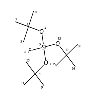 CC(C)(C)O[Si](F)(OC(C)(C)C)OC(C)(C)C